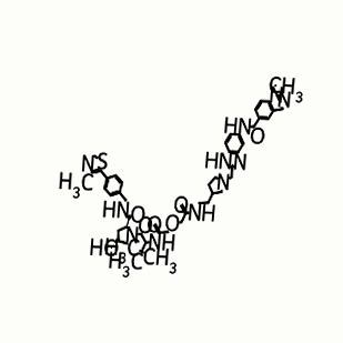 Cc1ncsc1-c1ccc(CNC(=O)[C@@H]2C[C@@H](O)CN2C(=O)C(NC(=O)COCC(=O)NCCC2CCN(Cc3nc4cc(NC(=O)c5ccc6c(cnn6C)c5)ccc4[nH]3)C2)C(C)(C)C)cc1